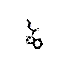 C/C=C/C(=O)n1nnc2ccccc21